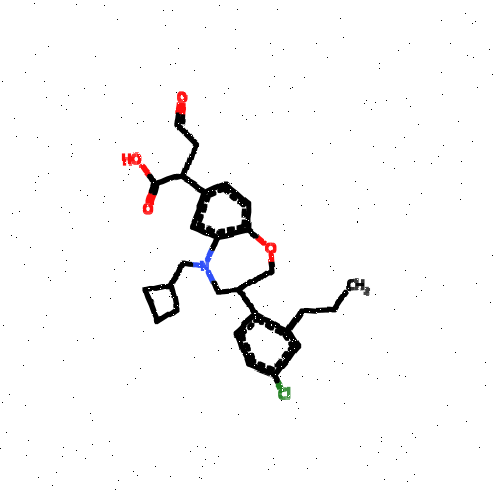 CCCc1cc(Cl)ccc1C1COc2ccc(C(CC=O)C(=O)O)cc2N(CC2CCC2)C1